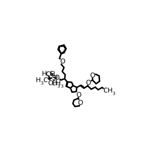 CCCCCC(C=CC1C(OC2CCCCO2)CC2C=C(C(CCCCOCc3ccccc3)CO[Si](C)(C)C(C)(C)C)CC21)OC1CCCCO1